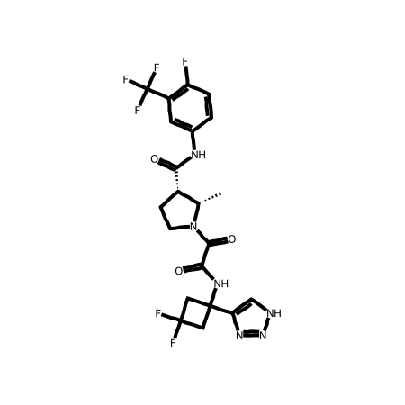 C[C@H]1[C@@H](C(=O)Nc2ccc(F)c(C(F)(F)F)c2)CCN1C(=O)C(=O)NC1(c2c[nH]nn2)CC(F)(F)C1